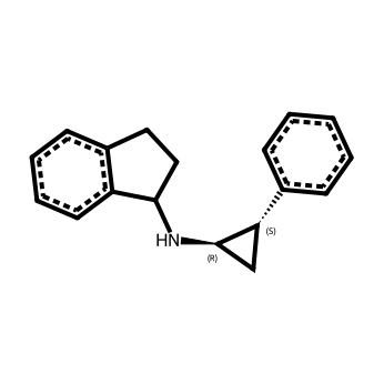 c1ccc([C@@H]2C[C@H]2NC2CCc3ccccc32)cc1